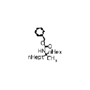 CCCCCCCC(C)(CCCCCC)NC(=O)OCc1ccccc1